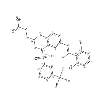 CC(=Cc1ccc2c(c1)N(S(=O)(=O)c1cccc(C(F)(F)F)c1)CC(CCC(=O)O)O2)c1c(F)cccc1Cl